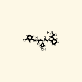 NC(=O)c1nn(CC(=O)N(CC(=O)NCc2cccc(Cl)c2F)[C@H]2C[C@H](O)C2)c2ccccc12